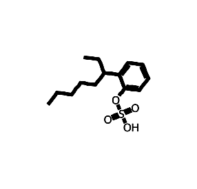 CCCCCC(CC)c1ccccc1OS(=O)(=O)O